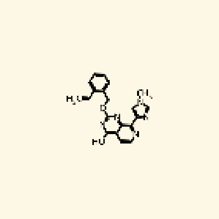 C=Cc1ccccc1COc1nc(O)c2ccnc(-c3cn(C)cn3)c2n1